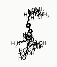 N=C(NCCCCc1ccc(-c2ccc(CCC(=O)N(CCN(CC(O)C(O)C(O)C(O)CO)CC(O)C(O)C(O)C(O)CO)C(CCCCN)c3nnn[nH]3)cc2)cc1)NC(=O)c1nc(Cl)c(N)nc1N